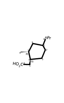 CCCC1CC[C@@H](CC(=O)O)[C@H](C)C1